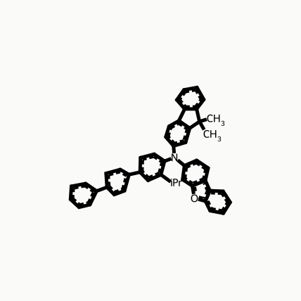 CC(C)c1cc(-c2ccc(-c3ccccc3)cc2)ccc1N(c1ccc2c(c1)C(C)(C)c1ccccc1-2)c1ccc2c(c1)oc1ccccc12